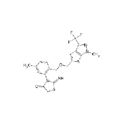 Cc1ccc(COCc2cc3c(C(F)(F)F)nn(C)c3s2)c(N2C(=N)SCC2=O)c1